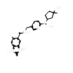 CN(c1ccc(CNC(=O)c2cc3[nH]c(=O)[nH]c3cc2F)cn1)C1CCC(C)(F)C1